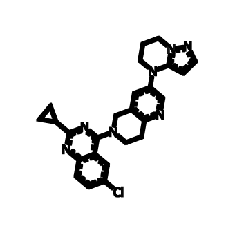 Clc1ccc2nc(C3CC3)nc(N3CCc4ncc(N5CCCn6nccc65)cc4C3)c2c1